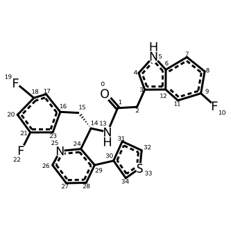 O=C(Cc1c[nH]c2ccc(F)cc12)N[C@@H](Cc1cc(F)cc(F)c1)c1ncccc1-c1ccsc1